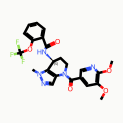 COc1cc(C(=O)N2CC[C@H](NC(=O)c3ccccc3OC(F)(F)F)c3c2cnn3C)cnc1OC